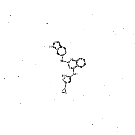 c1ccc2c(Nc3cc(C4CC4)n[nH]3)nc(Nc3ccc4cc[nH]c4c3)nc2c1